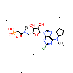 CCN(C[C@H]1O[C@@H](n2cnc3c(N(C)C4CCCC4)nc(Cl)nc32)[C@H](O)[C@@H]1O)C(=O)CP(=O)(O)O